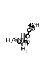 COc1cccc(Nc2c(C)noc2-c2ccc(-c3ccc(C4(C(=O)O)CC4)cc3)cc2)n1